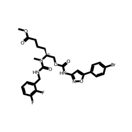 COC(=O)CCC[C@@H](COC(=O)Nc1cc(-c2ccc(Br)cc2)on1)N(C)C(=O)NCc1cccc(F)c1F